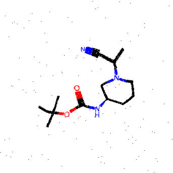 CC(C#N)N1CCC[C@@H](NC(=O)OC(C)(C)C)C1